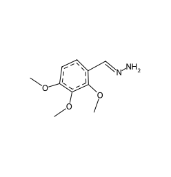 COc1ccc(C=NN)c(OC)c1OC